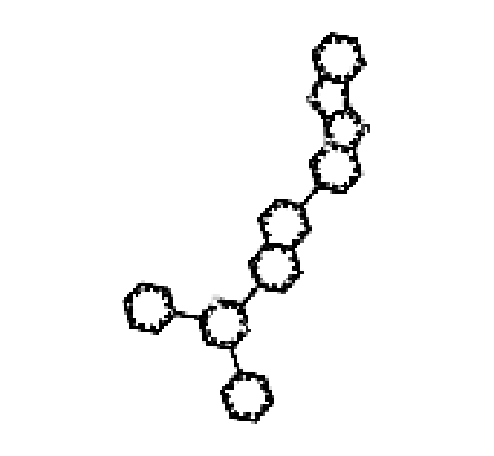 c1ccc(-c2cc(-c3ccccc3)nc(-c3ccc4cc(-c5ccc6nc7c8ccccc8sc7n6c5)ccc4c3)n2)cc1